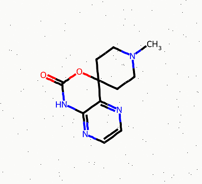 CN1CCC2(CC1)OC(=O)Nc1nccnc12